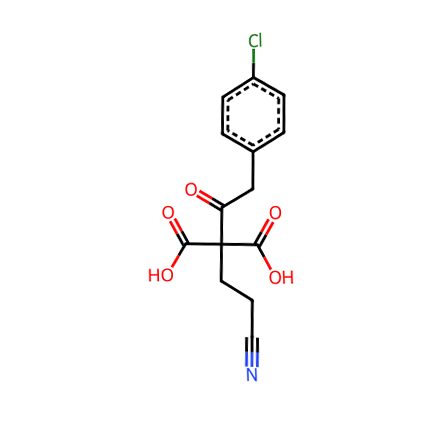 N#CCCC(C(=O)O)(C(=O)O)C(=O)Cc1ccc(Cl)cc1